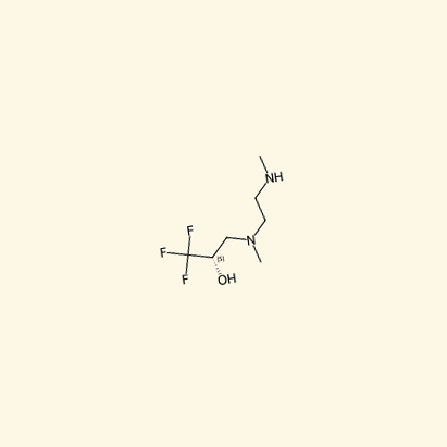 CNCCN(C)C[C@H](O)C(F)(F)F